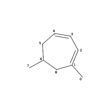 CC1=CC=[C]CC(C)C1